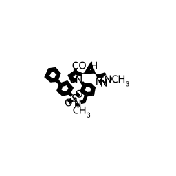 CN(Cc1cccc(-n2ccc(C(=O)O)c2[C@@H]2C[C@H]2c2cn(C)nn2)c1)S(=O)(=O)c1ccc(-c2ccccc2)cc1